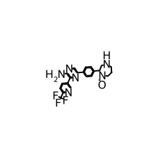 Nc1ncc(-c2ccc(C3CNCCCN3C=O)cc2)nc1-c1ccc(C(F)(F)F)nc1